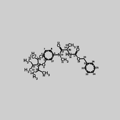 CC(C)[Si](Oc1cccc(N(C)C(=O)[C@@H](C)NC(=O)OCc2ccccc2)c1)(C(C)C)C(C)C